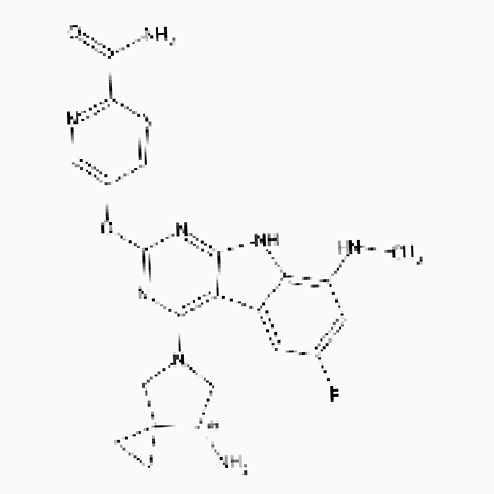 CNc1cc(F)cc2c1[nH]c1nc(Oc3cnc(C(N)=O)nc3)nc(N3C[C@H](N)C4(CC4)C3)c12